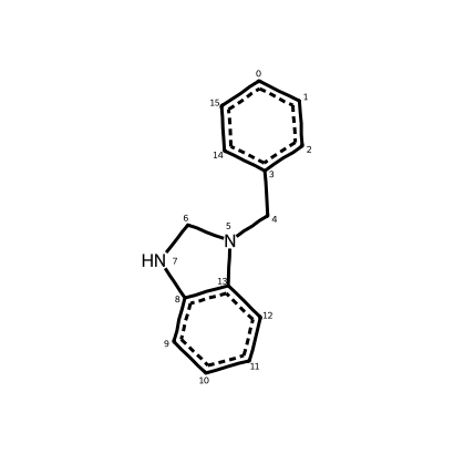 c1ccc(CN2CNc3ccccc32)cc1